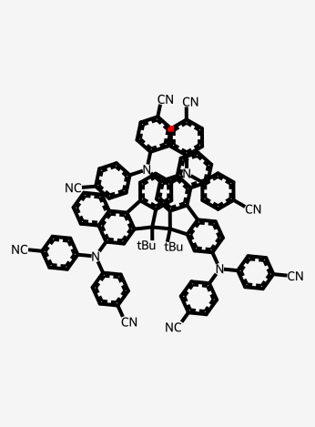 CC(C)(C)C1(C2(C(C)(C)C)c3cc(N(c4ccc(C#N)cc4)c4ccc(C#N)cc4)ccc3-c3c2cc(N(c2ccc(C#N)cc2)c2ccc(C#N)cc2)c2ccccc32)c2cc(N(c3ccc(C#N)cc3)c3ccc(C#N)cc3)ccc2-c2c1cc(N(c1ccc(C#N)cc1)c1ccc(C#N)cc1)c1ccccc21